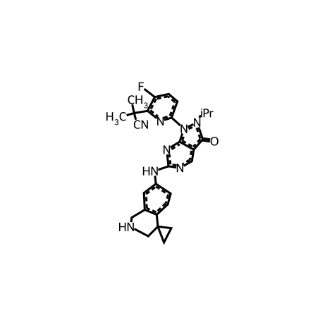 CC(C)n1c(=O)c2cnc(Nc3ccc4c(c3)CNCC43CC3)nc2n1-c1ccc(F)c(C(C)(C)C#N)n1